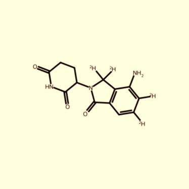 [2H]c1cc2c(c(N)c1[2H])C([2H])([2H])N(C1CCC(=O)NC1=O)C2=O